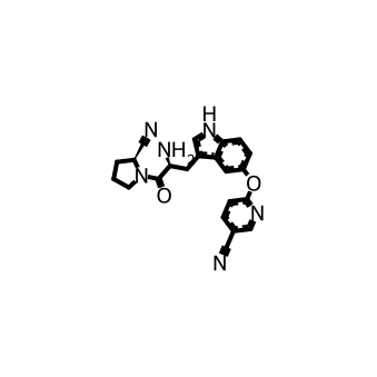 N#Cc1ccc(Oc2ccc3[nH]cc(C[C@H](N)C(=O)N4CCC[C@H]4C#N)c3c2)nc1